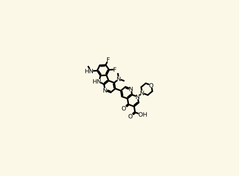 CNc1cc(F)c(F)c2c1[nH]c1ncc(-c3cnc4c(c3)c(=O)c(C(=O)O)cn4N3CCOCC3)c(N(C)C)c12